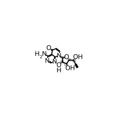 C#C[C@@H](O)[C@H]1O[C@H](n2ccc(=O)c3c(N)ncnc32)[C@H](O)[C@@H]1O